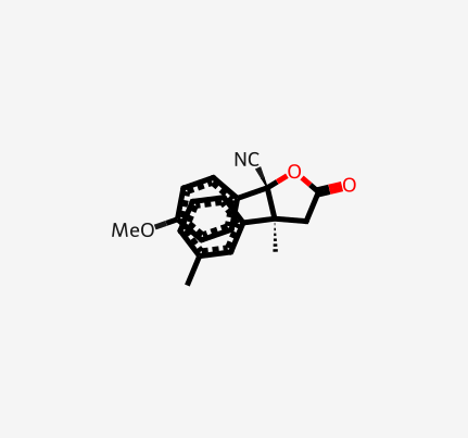 COc1ccc([C@]2(C#N)OC(=O)C[C@@]2(C)c2cccc(C)c2)cc1